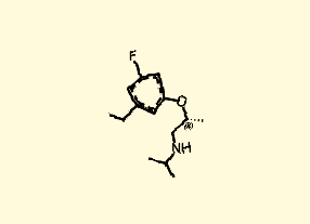 CCc1cc(F)cc(O[C@H](C)CNC(C)C)c1